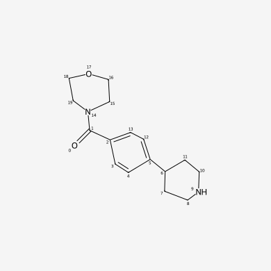 O=C(c1ccc(C2CCNCC2)cc1)N1CCOCC1